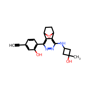 C#Cc1ccc(-c2nnc(NC3CC(C)(O)C3)c3c2C2CCC3O2)c(O)c1